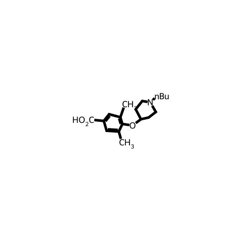 CCCCN1CCC(Oc2c(C)cc(C(=O)O)cc2C)CC1